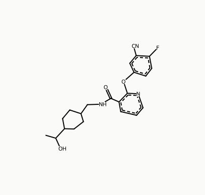 CC(O)C1CCC(CNC(=O)c2cccnc2Oc2ccc(F)c(C#N)c2)CC1